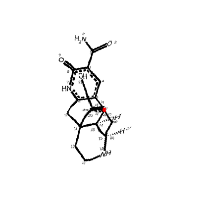 NC(=O)c1cc2c([nH]c1=O)CC13CCN[C@H](Cc4ccc(O)cc41)[C@]3(O)C2